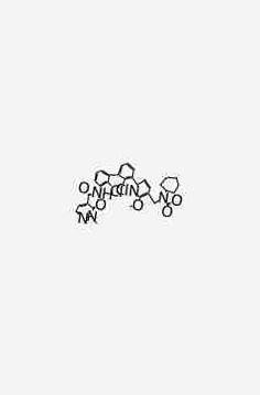 COc1nc(-c2cccc(-c3cccc(NC(=O)c4ccnn(C)c4=O)c3Cl)c2Cl)ccc1CN1C(=O)OC2CCCCC21